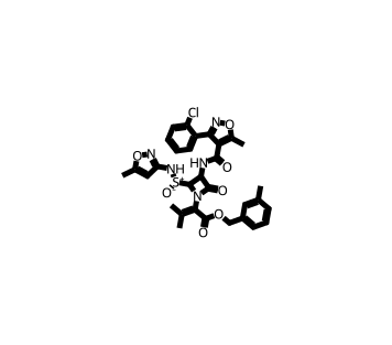 CC(C)=C(C(=O)OCc1cccc(C)c1)N1C(=O)C(NC(=O)c2c(-c3ccccc3Cl)noc2C)C1[S+]([O-])Nc1cc(C)on1